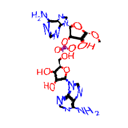 CO[C@H]1O[C@@H](n2cnc3c(N)ncnc32)C(OP(=O)(O)OC[C@H]2O[C@@H](n3cnc4c(N)ncnc43)C(O)C2O)C1O